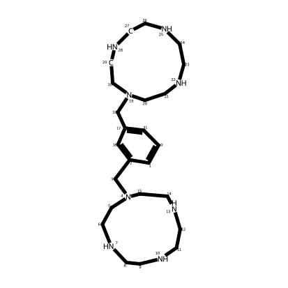 c1cc(CN2CCNCCNCCNCC2)cc(CN2CCNCCNCCNCC2)c1